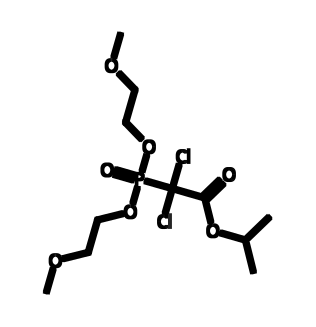 COCCOP(=O)(OCCOC)C(Cl)(Cl)C(=O)OC(C)C